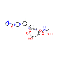 C/C(=C\c1cc(F)cc(N2CCN(C(=O)Cn3cccn3)CC2)c1)[C@@H]1OC(=O)C[C@@H](O)CC[C@H](C)[C@@H](OC(=O)N[C@@H](C)CO)/C=C/[C@H]1C